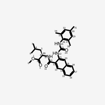 COC(=O)[C@@H](CC(C)C)NC(=O)c1cc2ccccc2cc1NC(=O)Nc1c(C)cc(C)cc1C